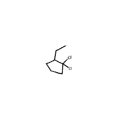 [CH2]CC1CCCC1(Cl)Cl